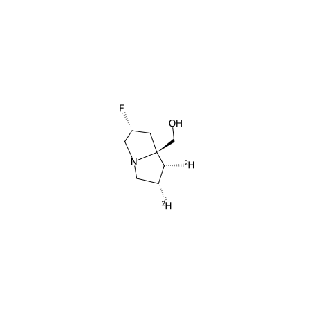 [2H][C@@H]1CN2C[C@H](F)C[C@]2(CO)[C@@H]1[2H]